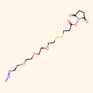 [N-]=[N+]=NCCOCCOCCOCCSSCCC(=O)ON1C(=O)CCC1=O